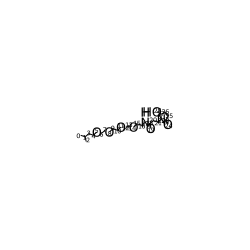 CC(C)CCOCCOCCOCCOCCNC(=O)CCN1C(=O)C=CC1O